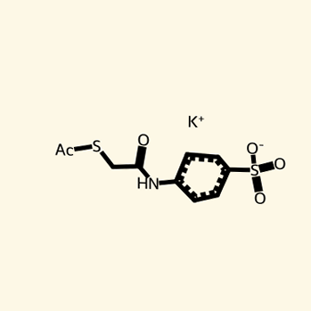 CC(=O)SCC(=O)Nc1ccc(S(=O)(=O)[O-])cc1.[K+]